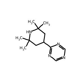 CC1(C)CC(c2ncncn2)CC(C)(C)N1